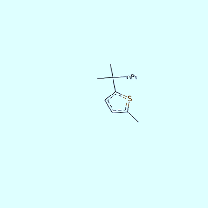 CCCC(C)(C)c1ccc(C)s1